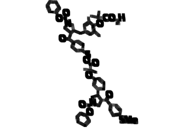 CSc1ccc(C(=O)C2CN(C(=O)Oc3ccccc3)CC2c2cccc(OC(C)(C)C(=O)OSc3ccc(C(=O)C4CN(C(=O)Oc5ccccc5)CC4Cc4cc(C)c(OC(C)(C)C(=O)O)c(C)c4)cc3)c2)cc1